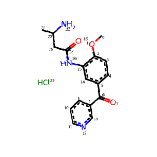 COc1ccc(C(=O)c2cccnc2)cc1NC(=O)CC(C)N.Cl